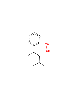 CC(C)CC(C)c1ccccc1.OO